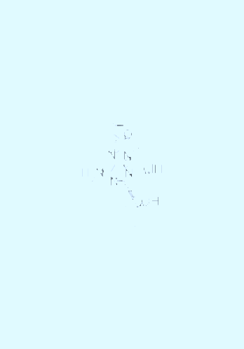 Cc1ccc(-c2nc3c(N)nc(C#CC4(O)CCCCC4)nc3n2C)o1.Cl